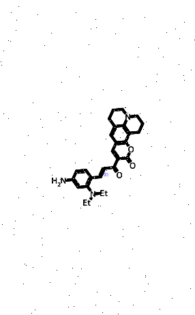 CCN(CC)c1cc(N)ccc1/C=C/C(=O)c1cc2cc3c4c(c2oc1=O)CCCN4CCC3